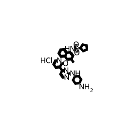 Cc1cc(NS(=O)(=O)C2CCCC2)c2ccccc2c1Oc1ncccc1-c1ccnc(NC2CCC(N)CC2)n1.Cl